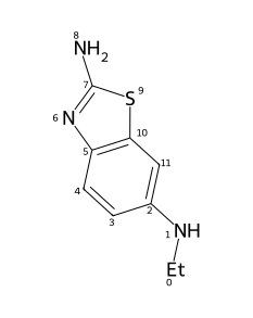 CCNc1ccc2nc(N)sc2c1